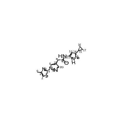 Cc1csc(-n2cc(CC(=O)Nc3cc(C4CC4)n[nH]3)cn2)n1